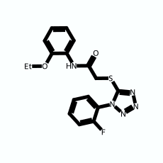 CCOc1ccccc1NC(=O)CSc1nnnn1-c1ccccc1F